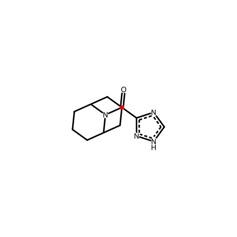 O=C(c1nc[nH]n1)N1C2CCCC1CCC2